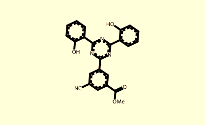 COC(=O)c1cc(C#N)cc(-c2nc(-c3ccccc3O)nc(-c3ccccc3O)n2)c1